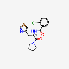 O=C(N[C@@H](Cc1cscn1)C(=O)N1CCCC1)c1ccccc1Cl